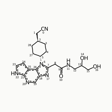 N#CC[C@H]1CC[C@H](n2c(CC(=O)NCC(O)CO)nc3cnc4[nH]ccc4c32)CC1